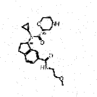 COCCNC(=O)c1ccc2c(c1)[C@H](N(C(=O)[C@H]1CNCCO1)C1CC1)CC2